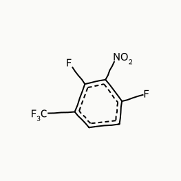 O=[N+]([O-])c1c(F)ccc(C(F)(F)F)c1F